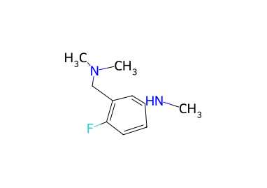 CNc1ccc(F)c(CN(C)C)c1